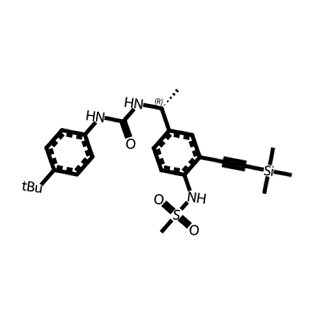 C[C@@H](NC(=O)Nc1ccc(C(C)(C)C)cc1)c1ccc(NS(C)(=O)=O)c(C#C[Si](C)(C)C)c1